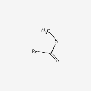 CS[C](=O)[Re]